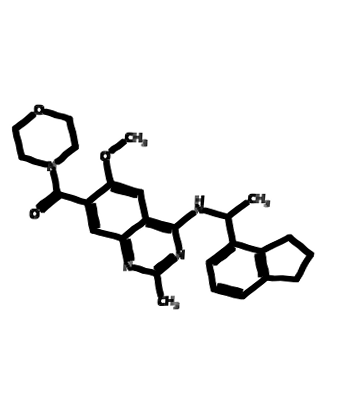 COc1cc2c(NC(C)c3cccc4c3CCC4)nc(C)nc2cc1C(=O)N1CCOCC1